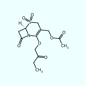 CCC(=O)COC1=C(COC(C)=O)CS(=O)(=O)[C@@H]2CC(=O)N12